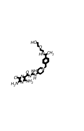 C=C(NCCOCCO)c1ccc(CN2CCC(N/C(N)=N/C(=O)c3nc(Cl)c(N)nc3N)CC2)cc1